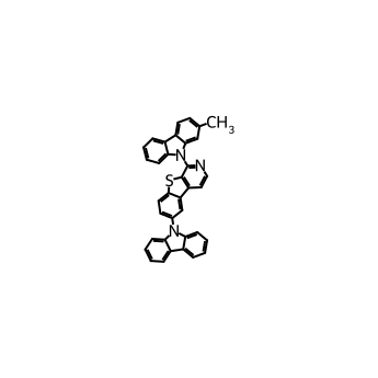 Cc1ccc2c3ccccc3n(-c3nccc4c3sc3ccc(-n5c6ccccc6c6ccccc65)cc34)c2c1